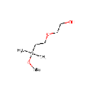 CCCCO[Si](C)(C)CCOCCO